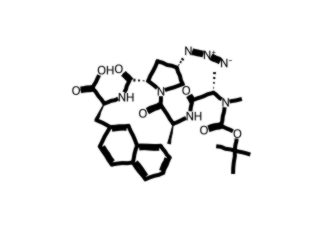 C[C@H](NC(=O)[C@H](C)N(C)C(=O)OC(C)(C)C)C(=O)N1C[C@@H](N=[N+]=[N-])C[C@H]1C(=O)N[C@@H](Cc1ccc2ccccc2c1)C(=O)O